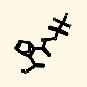 NC(=O)C1C2C=CC(O2)C1C(=O)NOS(=O)(=O)C(F)(F)F